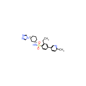 CCc1cc(-c2ccc(C)nc2)ccc1S(=O)(=O)N[C@H]1CCC[C@@H](n2cnnc2)C1